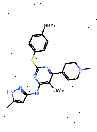 COc1c(Nc2cc(C)[nH]n2)nc(Sc2ccc(NC(C)=O)cc2)nc1C1=CCN(C)CC1